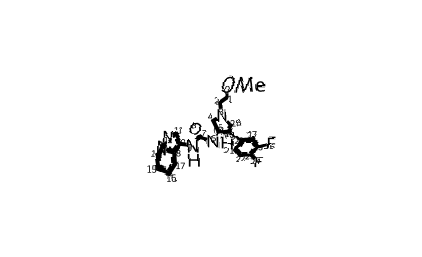 COCCN1C[C@@H](NC(=O)Nc2cnn3ccccc23)[C@H](c2ccc(F)c(F)c2)C1